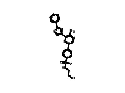 Nc1ncc(-c2ccc(S(=O)(=O)NCCO)cc2)nc1-c1nnc(-c2ccccc2)o1